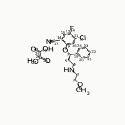 COCCNCC[C@@H](Oc1cc(Cl)c(F)cc1C#N)c1ccccc1.O=C(O)C(=O)O